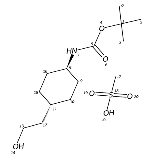 CC(C)(C)OC(=O)N[C@H]1CC[C@H](CCO)CC1.CS(=O)(=O)O